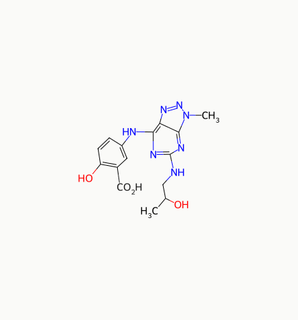 CC(O)CNc1nc(Nc2ccc(O)c(C(=O)O)c2)c2nnn(C)c2n1